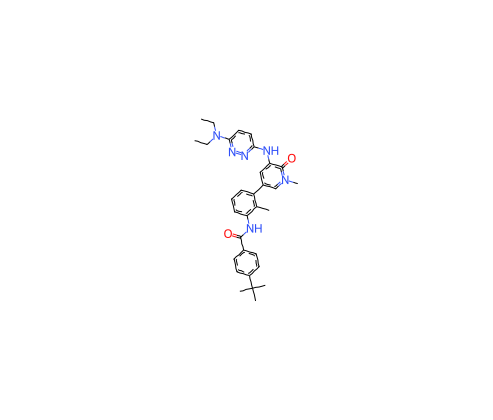 CCN(CC)c1ccc(Nc2cc(-c3cccc(NC(=O)c4ccc(C(C)(C)C)cc4)c3C)cn(C)c2=O)nn1